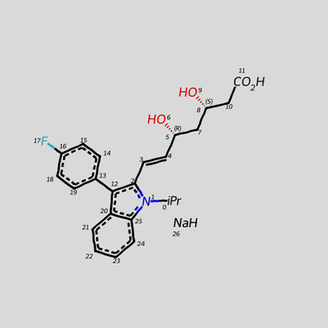 CC(C)n1c(C=C[C@H](O)C[C@H](O)CC(=O)O)c(-c2ccc(F)cc2)c2ccccc21.[NaH]